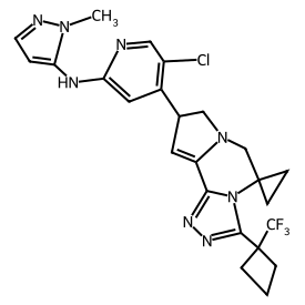 Cn1nccc1Nc1cc(C2C=C3c4nnc(C5(C(F)(F)F)CCC5)n4C4(CC4)CN3C2)c(Cl)cn1